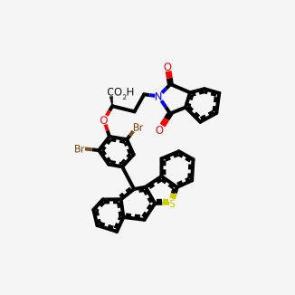 O=C(O)[C@@H](CCN1C(=O)c2ccccc2C1=O)Oc1c(Br)cc(-c2c3ccccc3cc3sc4ccccc4c23)cc1Br